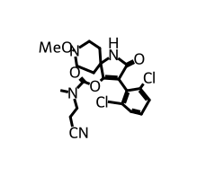 CON1CCC2(CC1)NC(=O)C(c1c(Cl)cccc1Cl)=C2OC(=O)N(C)CCC#N